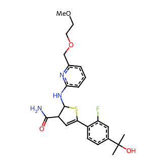 COCCOCc1cccc(NC2SC(c3ccc(C(C)(C)O)cc3F)=CC2C(N)=O)n1